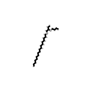 CCCCCCCCCCCCCCCCCCOCC(CC)OCCCC